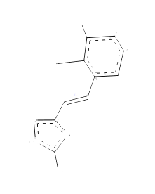 CCC(C)c1nc(/C=C/c2cccc(Cl)c2Cl)no1